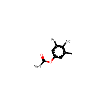 [C-]#[N+]c1c(C)cc(OC(=O)NC)cc1C(C)C